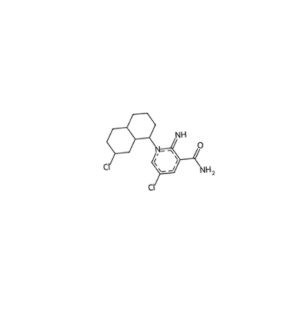 N=c1c(C(N)=O)cc(Cl)cn1C1CCCC2CCC(Cl)CC21